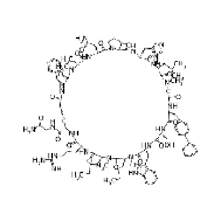 CCCC[C@H]1C(=O)N(C)[C@@H](CCCC)C(=O)N[C@@H](CCCNC(=N)N)C(=O)N[C@H](C(=O)NCC(N)=O)CSCC(=O)N[C@@H](Cc2ccccc2)C(=O)N(C)[C@@H](C)C(=O)N[C@@H](CC(N)=O)C(=O)N2CCC[C@H]2C(=O)N[C@@H](Cc2cnc[nH]2)C(=O)N[C@@H](CC(C)C)C(=O)N(C)CC(=O)N[C@@H](Cc2ccc(-c3ccccc3)cc2)C(=O)N[C@@H](CO)C(=O)N[C@@H](Cc2c[nH]c3ccccc23)C(=O)N1C